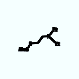 [C]SSCCN(CC)CC